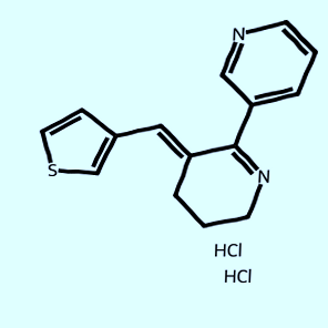 C(=C1CCCN=C1c1cccnc1)c1ccsc1.Cl.Cl